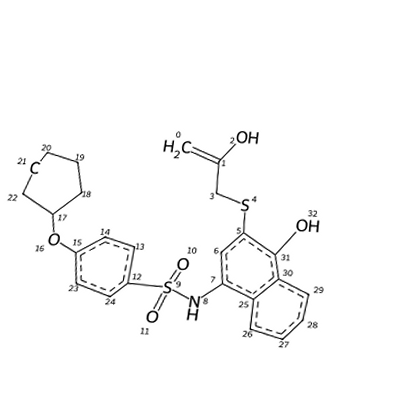 C=C(O)CSc1cc(NS(=O)(=O)c2ccc(OC3CCCCC3)cc2)c2ccccc2c1O